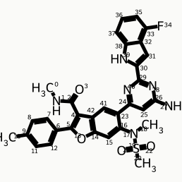 CNC(=O)c1c(-c2ccc(C)cc2)oc2cc(N(C)S(C)(=O)=O)c(-c3cc(N)nc(-c4cc5c(F)cccc5[nH]4)n3)cc12